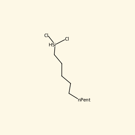 CCCCCCCCCC[SiH](Cl)Cl